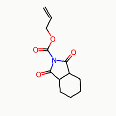 C=CCOC(=O)N1C(=O)C2CCCCC2C1=O